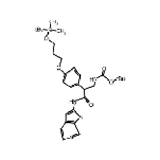 CC(C)(C)OC(=O)NCC(C(=O)Nc1cc2ccncc2s1)c1ccc(OCCCO[Si](C)(C)C(C)(C)C)cc1